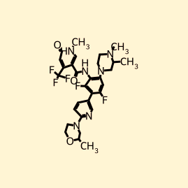 CN/C=C(C(=O)Nc1c(N2CCN(C)C(C)C2)cc(F)c(-c2ccc(N3CCOC(C)C3)nc2)c1F)\C(=C/C=O)C(F)(F)F